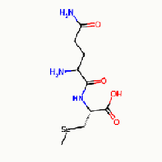 C[Se]C[C@H](NC(=O)[C@@H](N)CCC(N)=O)C(=O)O